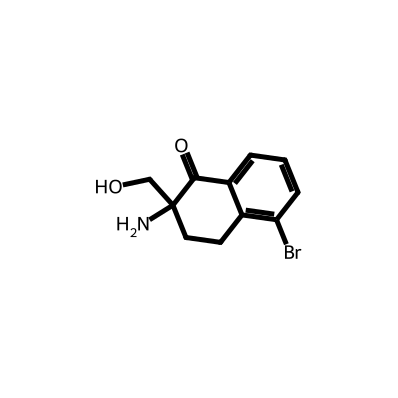 NC1(CO)CCc2c(Br)cccc2C1=O